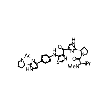 CN[C@H](C(=O)N1CCC[C@H]1c1nc(C(=O)c2ncsc2Nc2ccc(-c3c[nH]c([C@@H]4CCCN4C(C)=O)n3)cc2)c[nH]1)C(C)C